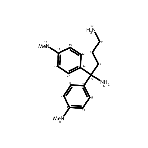 CNc1ccc(C(N)(CCCN)c2ccc(NC)cc2)cc1